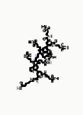 CC1(CCCS(=O)(=O)O)C(/C=C/C=C2/N(CCCS(=O)(=O)O)c3c(cc(-c4cc(C(=O)NCCCCCC(=O)O)nc(C(=O)NCCS(=O)(=O)O)c4)c4sccc34)C2(C)CCCS(=O)(=O)O)=[N+](CCCS(=O)(=O)O)c2c1cc(-c1cc(C(=O)NCCS(=O)(=O)O)nc(C(=O)NCCS(=O)(=O)O)c1)c1sccc21